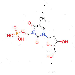 Cc1cn([C@H]2CC(O)[C@@H](CO)O2)c(=O)n(COP(=O)(O)O)c1=O